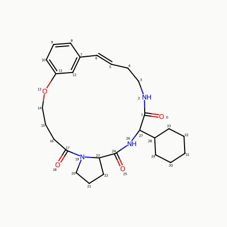 O=C1NCC/C=C/c2cccc(c2)OCCCC(=O)N2CCCC2C(=O)NC1C1CCCCC1